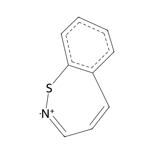 C1=Cc2ccccc2S[N+]=C1